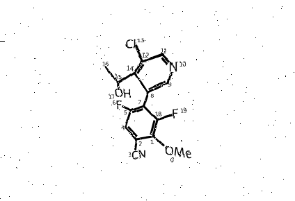 COc1c(C#N)cc(F)c(-c2cncc(Cl)c2C(C)O)c1F